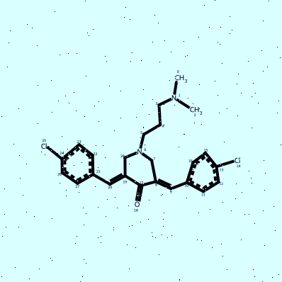 CN(C)CCCN1C/C(=C\c2ccc(Cl)cc2)C(=O)/C(=C/c2ccc(Cl)cc2)C1